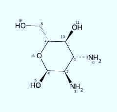 N[C@@H]1[C@@H](N)[C@@H](O)O[C@H](CO)[C@H]1O